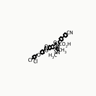 Cc1nc(C)c(C(=O)N2Cc3cc4c(cc3CC2C(=O)NC(Cc2ccc(-c3ccc(C#N)cc3)cc2)C(=O)O)OCC(c2ccc(OCc3ccc(Cl)c(Cl)c3)cc2)O4)s1